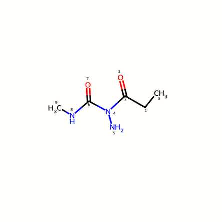 CCC(=O)N(N)C(=O)NC